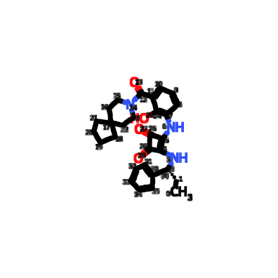 CC[C@@H](Nc1c(Nc2cccc(C(=O)N3CCC4(CCCC4)CC3)c2O)c(=O)c1=O)c1ccccc1